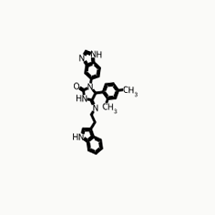 Cc1ccc(C2C(=NCCc3c[nH]c4ccccc34)NC(=O)N2c2ccc3[nH]cnc3c2)c(C)c1